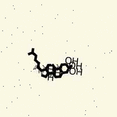 CC(C)CCC[C@@H](C)[C@H]1CC[C@H]2[C@@H]3CCC4CC(O)(O)C(O)C[C@]4(C)[C@H]3CC[C@]12C